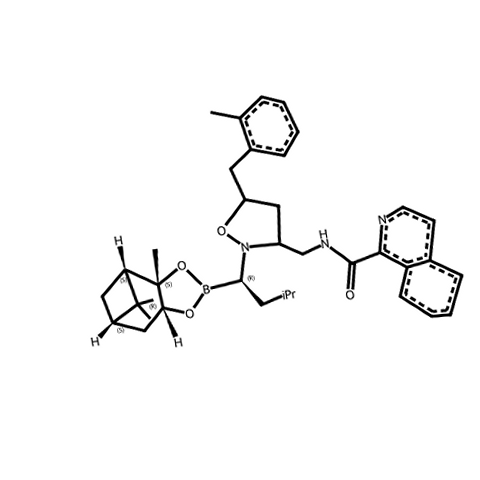 Cc1ccccc1CC1CC(CNC(=O)c2nccc3ccccc23)N([C@@H](CC(C)C)B2O[C@@H]3C[C@@H]4C[C@@H](C4(C)C)[C@]3(C)O2)O1